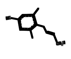 Cc1cc(C#N)cc(C)c1C/C=C/C(=O)O